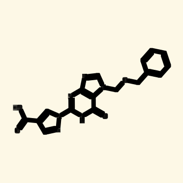 O=C(O)c1cnn(-c2nc3ncn(COCc4ccccc4)c3c(=O)[nH]2)c1